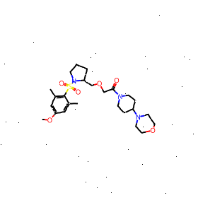 COc1cc(C)c(S(=O)(=O)N2CCCC2COCC(=O)N2CCC(N3CCOCC3)CC2)c(C)c1